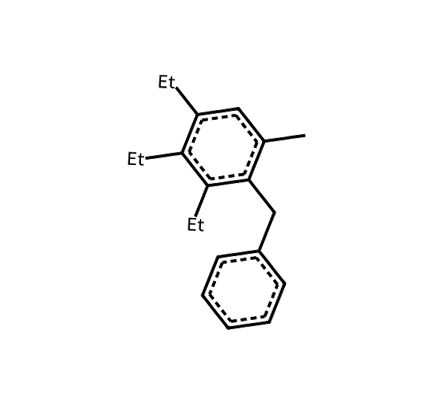 CCc1cc(C)c(Cc2ccccc2)c(CC)c1CC